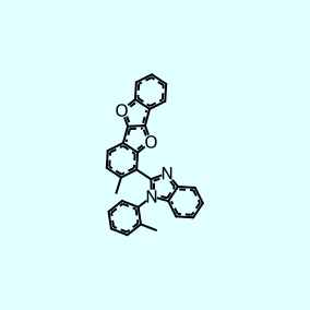 Cc1ccccc1-n1c(-c2c(C)ccc3c2oc2c4ccccc4oc32)nc2ccccc21